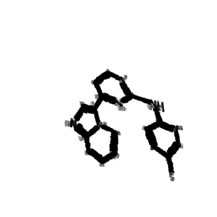 Fc1ccc(Nc2nccc(-c3cnc4ccccn34)n2)nc1